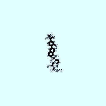 COC(=O)N[C@H](C(=O)N1[C@@H](C)CC[C@H]1c1nc2ccc3cc4c(cc3c2[nH]1)OCc1cc(-c2[nH]cnc2F)ccc1-4)C(C)C